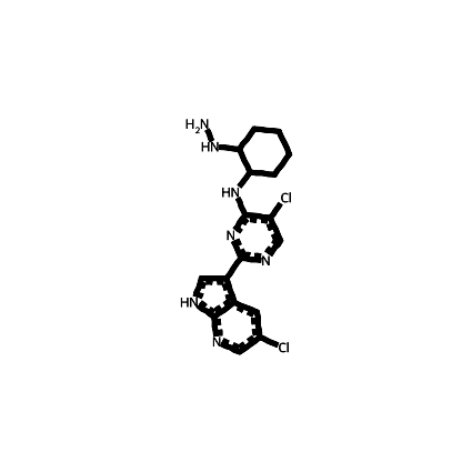 NNC1CCCCC1Nc1nc(-c2c[nH]c3ncc(Cl)cc23)ncc1Cl